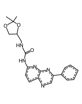 CC1(C)OCC(CNC(=O)Nc2ccc3ncc(-c4ccccc4)nc3n2)O1